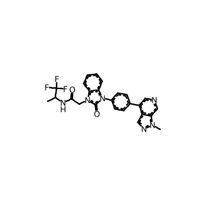 CC(NC(=O)Cn1c(=O)n(-c2ccc(-c3cncc4c3cnn4C)cc2)c2ccccc21)C(F)(F)F